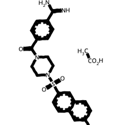 CC(=O)O.N=C(N)c1ccc(C(=O)N2CCN(S(=O)(=O)c3ccc4cc(Cl)ccc4c3)CC2)cc1